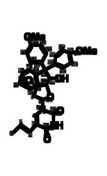 CC=Cc1cn([C@H]2C[C@H](O)[C@@H](C(O)C(c3ccccc3)(c3ccc(OC)cc3)c3ccc(OC)cc3)O2)c(=O)[nH]c1=O